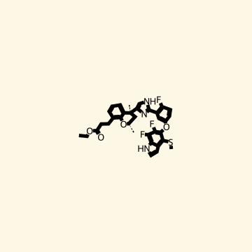 CCOC(=O)CCc1cccc2c1O[C@@H](C)C[C@]2(C)c1c[nH]c(-c2cc(Oc3c(F)c(F)c4[nH]ccc4c3SC)ccc2F)n1